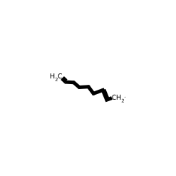 [CH2]C=CCCCCC=C